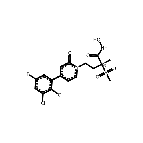 C[C@@](CCn1ccc(-c2cc(F)cc(Cl)c2Cl)cc1=O)(C(=O)NO)S(C)(=O)=O